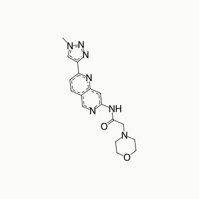 Cn1cc(-c2ccc3cnc(NC(=O)CN4CCOCC4)cc3n2)nn1